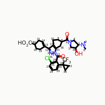 CN(C)[C@H]1CN(C(=O)C2CCc3c(C4=CCC(C(=O)O)CC4)nn(C(=O)c4c(Cl)cccc4C4(C(F)(F)F)CC4)c3C2)CC1O